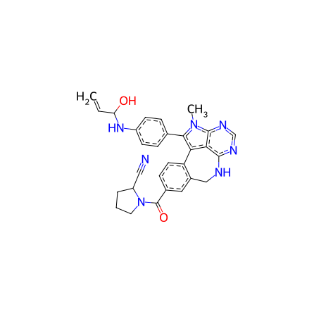 C=CC(O)Nc1ccc(-c2c3c4c(ncnc4n2C)NCc2cc(C(=O)N4CCCC4C#N)ccc2-3)cc1